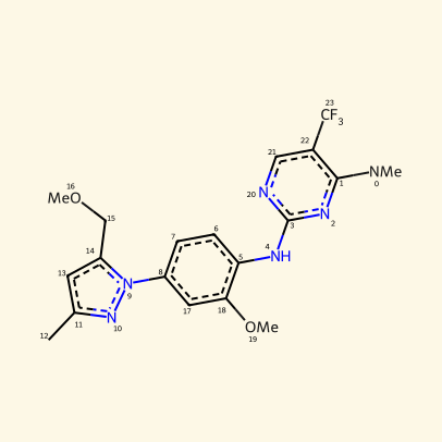 CNc1nc(Nc2ccc(-n3nc(C)cc3COC)cc2OC)ncc1C(F)(F)F